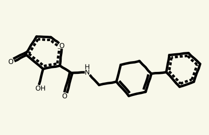 O=C(NCC1=CC=C(c2ccccc2)CC1)c1occc(=O)c1O